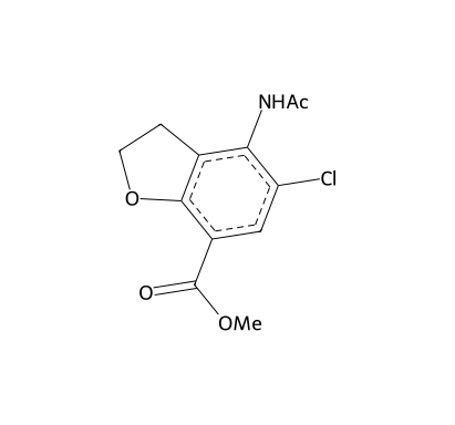 COC(=O)c1cc(Cl)c(NC(C)=O)c2c1OCC2